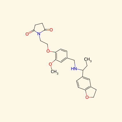 CCC(NCc1ccc(OCCN2C(=O)CCC2=O)c(OC)c1)c1ccc2c(c1)CCO2